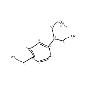 COC(CO)c1ccc(CF)cc1